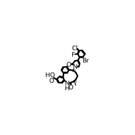 C[C@@H]1CCC[C@H](N2CC=C(c3c(Br)ccc(Cl)c3F)CC2=O)c2cccc(c2)-c2cc(C(=O)O)ccc2NC1=O